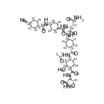 CC(C)Oc1c(NC(=O)c2ccc(NC(=O)C(CC(N)=O)NC(=O)c3ccc(NC(=O)c4ccc(C#N)cc4)cc3)cc2)ccc(C(=O)N[C@@H]2CONC2=O)c1O